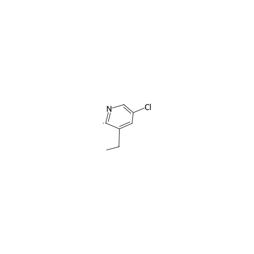 CCc1[c]ncc(Cl)c1